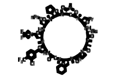 CCCOC[C@@H]1NC(=O)[C@H](CCN2CC(F)(F)C2)N(C)C(=O)[C@H](CCc2ccc(C(F)(F)F)c(Cl)c2)NC(=O)CN(C)C(=O)[C@H](CC2CCCCC2)N(C)C(=O)[C@@H]2CCN2C(=O)[C@H](C)N(C)C(=O)[C@H]([C@@H](C)CC)NC(=O)[C@H](CC(C)C)N(C)C(=O)C[C@@H](C(=O)N(C)C)N(C)C(=O)[C@H](C2CCCC2)N(C)C1=O